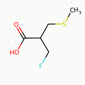 CSCC(CF)C(=O)O